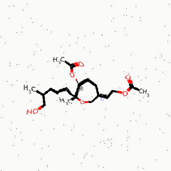 CC(=O)OC/C=C1\CC[C@@H](OC(C)=O)C(C)(CCCC(C)CO)OC1